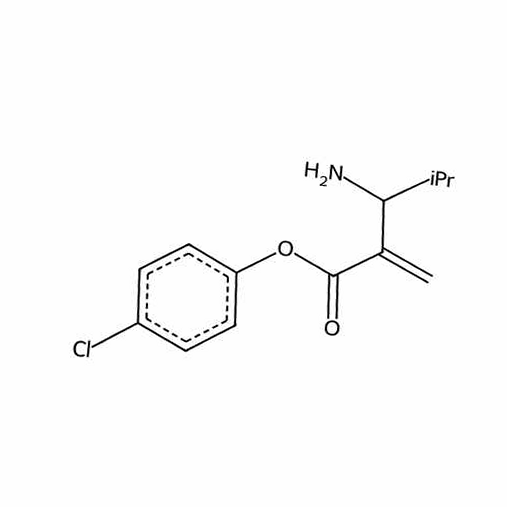 C=C(C(=O)Oc1ccc(Cl)cc1)C(N)C(C)C